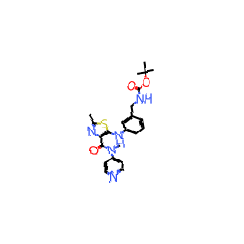 Cc1nc(C(=O)N(C)c2ccncc2)c(Nc2cccc(CNC(=O)OC(C)(C)C)c2)s1